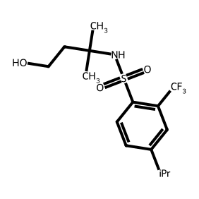 CC(C)c1ccc(S(=O)(=O)NC(C)(C)CCO)c(C(F)(F)F)c1